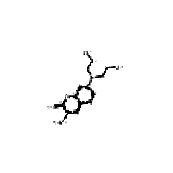 O=Cc1cc2ccc(N(CCCl)CCCl)cc2oc1=O